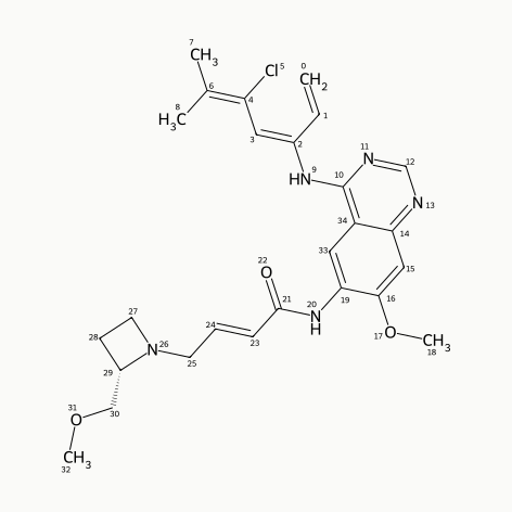 C=C/C(=C\C(Cl)=C(C)C)Nc1ncnc2cc(OC)c(NC(=O)/C=C/CN3CC[C@H]3COC)cc12